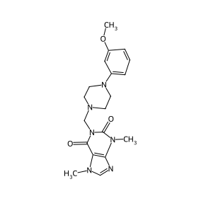 COc1cccc(N2CCN(Cn3c(=O)c4c(ncn4C)n(C)c3=O)CC2)c1